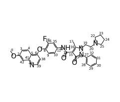 COc1ccc2c(Oc3ccc(NC(=O)c4c(C)n(CCN5CCCC5)n(-c5ccccc5)c4=O)cc3F)ccnc2c1